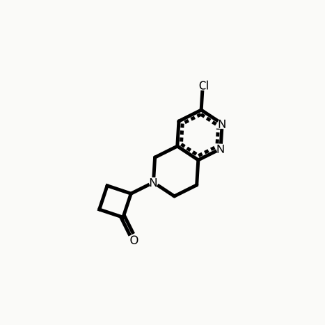 O=C1CCC1N1CCc2nnc(Cl)cc2C1